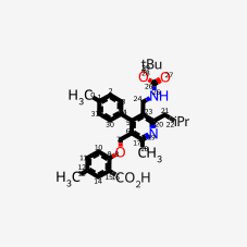 Cc1ccc(-c2c(COc3ccc(C)cc3C(=O)O)c(C)nc(CC(C)C)c2CNC(=O)OC(C)(C)C)cc1